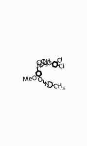 COc1cc(CN(C)CC(O)COc2ccc(Cl)c(Cl)c2)ccc1OCCN1CCC(C)CC1